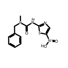 CN(Cc1ccccc1)C(=O)Nc1ncc([N+](=O)O)s1